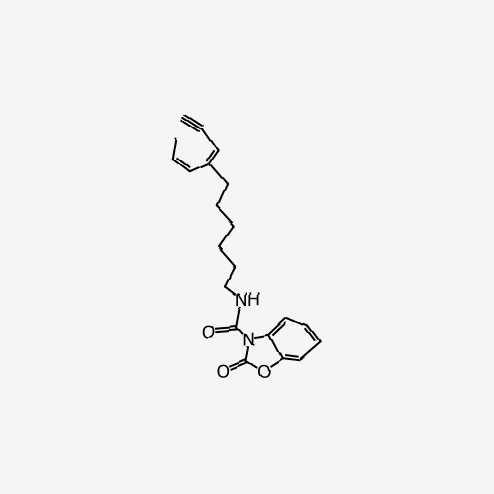 C#C/C=C(\C=C/C)CCCCCCNC(=O)n1c(=O)oc2ccccc21